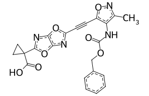 Cc1noc(C#Cc2nc3oc(C4(C(=O)O)CC4)nc3o2)c1NC(=O)OCc1ccccc1